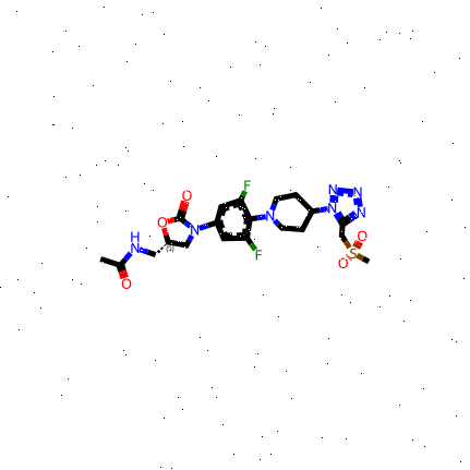 CC(=O)NC[C@H]1CN(c2cc(F)c(N3CCC(n4nnnc4CS(C)(=O)=O)CC3)c(F)c2)C(=O)O1